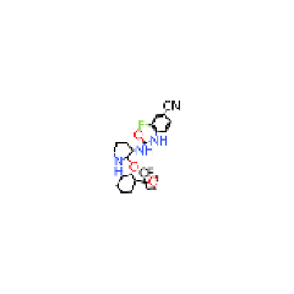 N#Cc1ccc(NC(=O)N[C@H]2CCCNC2OC2CCCCC2[C@@]2(C(F)(F)F)CCO2)c(F)c1